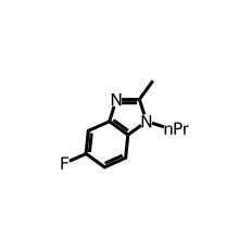 [CH2]CCn1c(C)nc2cc(F)ccc21